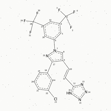 FC(F)(F)c1cc(-n2cc(/C=C/c3nnn[nH]3)c(-c3cccc(Cl)c3)n2)cc(C(F)(F)F)c1